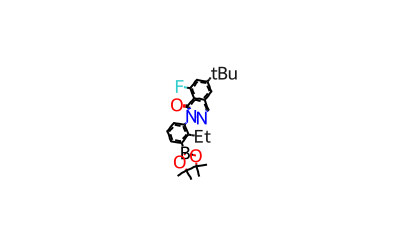 CCc1c(B2OC(C)(C)C(C)(C)O2)cccc1-n1ncc2cc(C(C)(C)C)cc(F)c2c1=O